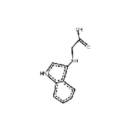 O=C(O)CNc1c[nH]c2ccccc12